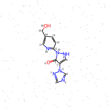 O=c1c(-n2cncn2)c[nH]n1-c1ccc(CO)cn1